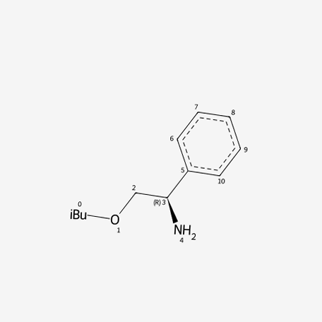 CCC(C)OC[C@H](N)c1ccccc1